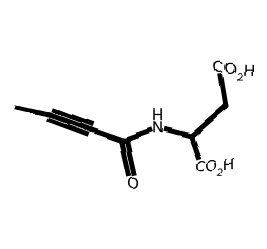 CC#CC(=O)NC(CC(=O)O)C(=O)O